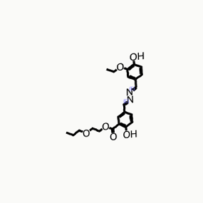 CCCOCCOC(=O)c1cc(/C=N/N=C/c2ccc(O)c(OCC)c2)ccc1O